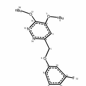 CCCCOc1cc(COc2cccc(F)c2)nnc1OCCCC